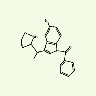 CC(c1cn(C(=O)c2ccccc2)c2ccc(Br)cc12)C1CCCN1